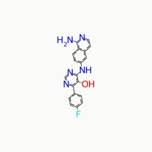 Nc1nccc2cc(Nc3ncnc(-c4ccc(F)cc4)c3O)ccc12